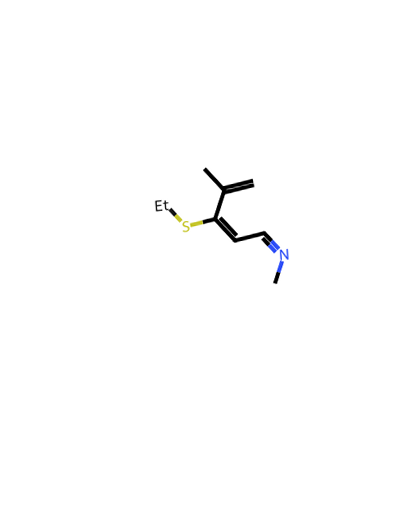 C=C(C)/C(=C\C=N/C)SCC